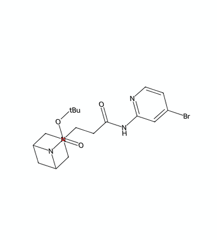 CC(C)(C)OC(=O)N1C2CC1CN(CCC(=O)Nc1cc(Br)ccn1)C2